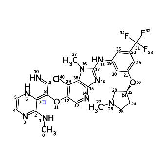 CNC1=NC=CN/C1=C(\C=N)Oc1cnc2nc(Nc3cc(O[C@H]4CCN(C)C4)cc(C(F)(F)F)c3)n(C)c2c1Cl